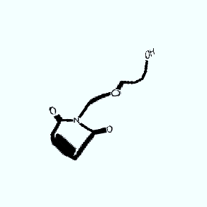 O=C1C=CC(=O)N1COCCO